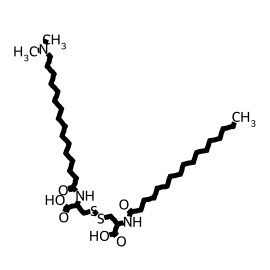 CCCCCCCCCCCCCCCCC(=O)NC(CSSCC(NC(=O)CCCCCCCCCCCCCCCN(C)C)C(=O)O)C(=O)O